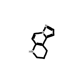 c1cc2c3c(ccn2n1)NCCC3